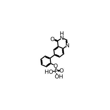 O=c1[nH]cnc2ccc(-c3ccccc3OP(=O)(O)O)cc12